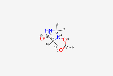 CC(=O)ON1C(C)(C)NC(=O)C1(C)C